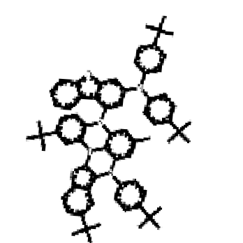 Cc1cc2c3c(c1)N(c1cc(N(c4ccc(C(C)(C)C)cc4)c4ccc(C(C)(C)C)cc4)cc4oc5ccccc5c14)c1ccc(C(C)(C)C)cc1B3c1sc3ccc(C(C)(C)C)cc3c1N2c1ccc(C(C)(C)C)cc1